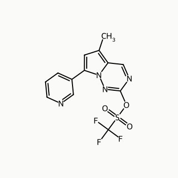 Cc1cc(-c2cccnc2)n2nc(OS(=O)(=O)C(F)(F)F)ncc12